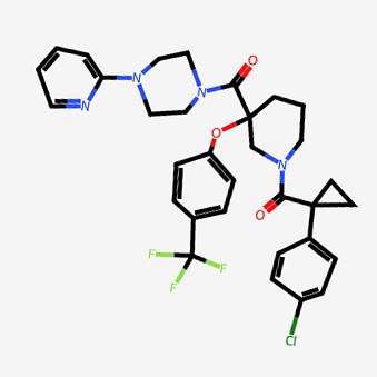 O=C(N1CCN(c2ccccn2)CC1)C1(Oc2ccc(C(F)(F)F)cc2)CCCN(C(=O)C2(c3ccc(Cl)cc3)CC2)C1